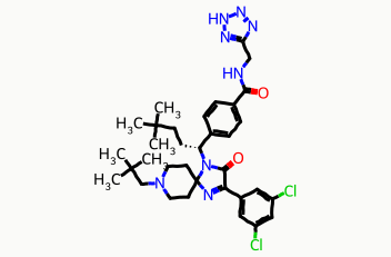 CC(C)(C)CC[C@H](c1ccc(C(=O)NCc2nn[nH]n2)cc1)N1C(=O)C(c2cc(Cl)cc(Cl)c2)=NC12CCN(CC(C)(C)C)CC2